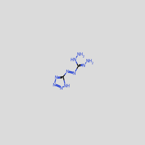 N/N=C(/N=Nc1nnn[nH]1)NN